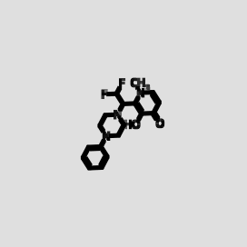 Cn1ccc(=O)c(O)c1C(C(F)F)N1CCN(c2ccccc2)CC1